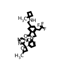 CC1C[C@](c2cccc(N3Cc4c(CC(F)(F)F)cc(CNC5(C)CCC5)cc4C3=O)c2)(c2nncn2C)O1